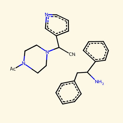 CC(=O)N1CCN(C(C#N)c2cccnc2)CC1.NC(Cc1ccccc1)c1ccccc1